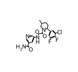 CC1CCC(c2cc(F)c(F)c(Cl)c2)N(C(=O)C(=O)Nc2cncc(C(N)=O)c2)C1